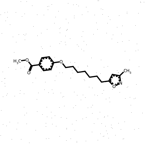 COC(=O)c1ccc(OCCCCCCCc2cc(C)no2)cc1